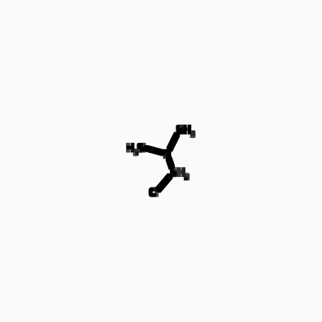 [SiH3]N([SiH3])[SiH2]Cl